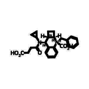 O=C(O)CCC(=O)N(C1CC1)[C@@H]1c2ccccc2[N+](Cc2ccccc2)(C(=O)O)[C@@H]2CC[C@@H]12